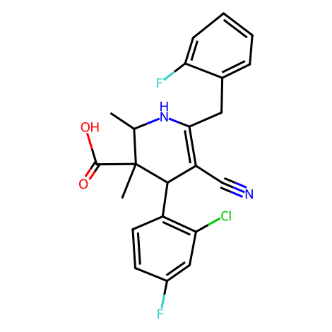 CC1NC(Cc2ccccc2F)=C(C#N)C(c2ccc(F)cc2Cl)C1(C)C(=O)O